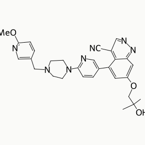 COc1ccc(CN2CCN(c3ccc(-c4cc(OCC(C)(C)O)cc5nncc(C#N)c45)cn3)CC2)cn1